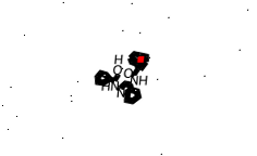 O=C(CC12CC3CC(CC(C3)C1)C2)Nc1cc(NC(CO)c2ccccc2)nc2ccccc12